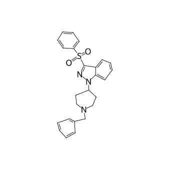 O=S(=O)(c1ccccc1)c1nn(C2CCN(Cc3ccccc3)CC2)c2ccccc12